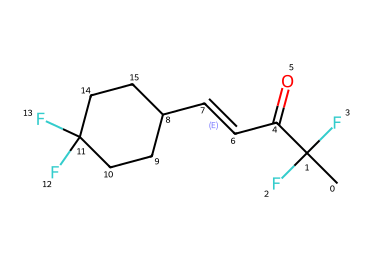 CC(F)(F)C(=O)/C=C/C1CCC(F)(F)CC1